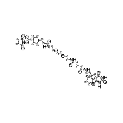 O=C(CCCC(=O)NCCOCCOCCNC(=O)CCc1ccc(C(=O)ON2C(=O)CCC2=O)cc1)NCCCCC1(c2ccccc2)C(=O)NC(=O)NC1=O